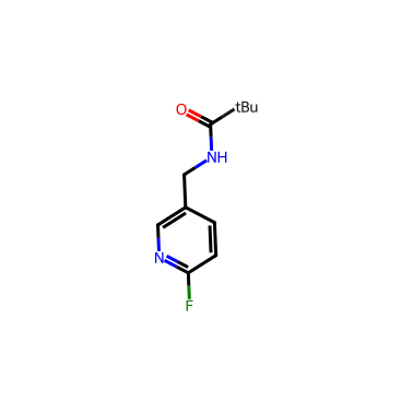 CC(C)(C)C(=O)NCc1ccc(F)nc1